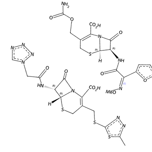 CO/N=C(\C(=O)N[C@@H]1C(=O)N2C(C(=O)O)=C(COC(N)=O)CS[C@H]12)c1ccco1.Cc1nnc(SCC2=C(C(=O)O)N3C(=O)[C@@H](NC(=O)Cn4cnnn4)[C@H]3SC2)s1